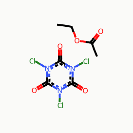 CCOC(C)=O.O=c1n(Cl)c(=O)n(Cl)c(=O)n1Cl